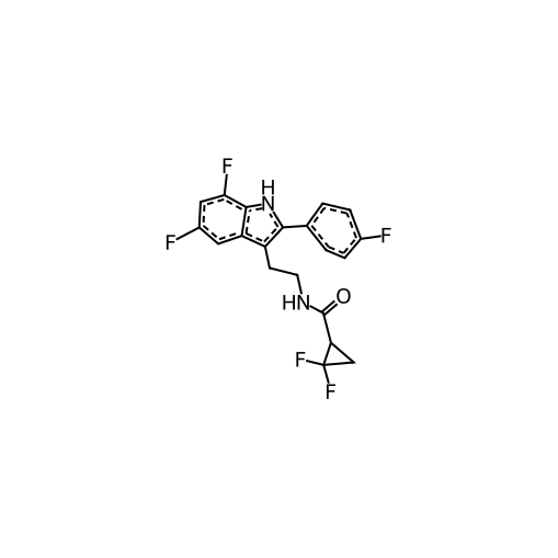 O=C(NCCc1c(-c2ccc(F)cc2)[nH]c2c(F)cc(F)cc12)C1CC1(F)F